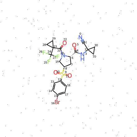 N#CC1(NC(=O)[C@@H]2C[C@@H](S(=O)(=O)c3ccc(Br)cc3)CN2C(=O)C2(C(F)(F)F)CC2)CC1